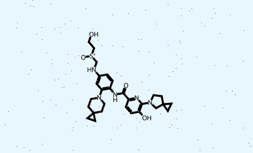 O=C(Nc1ccc(NC[S+]([O-])CCO)cc1N1CCC2(CC1)CC2)c1ccc(O)c(N2CCC3(CC3)C2)n1